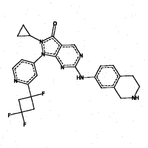 O=c1c2cnc(Nc3ccc4c(c3)CNCC4)nc2n(-c2ccnc(C3(F)CC(F)(F)C3)c2)n1C1CC1